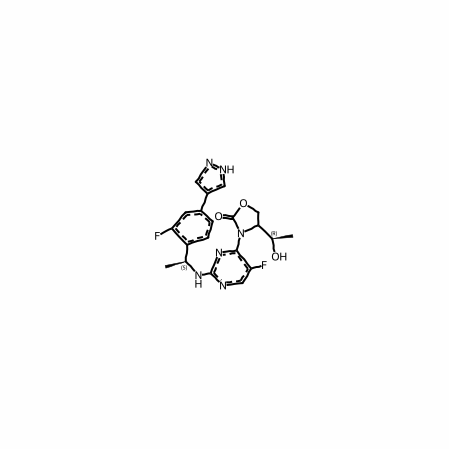 C[C@H](Nc1ncc(F)c(N2C(=O)OCC2[C@@H](C)O)n1)c1ccc(-c2cn[nH]c2)cc1F